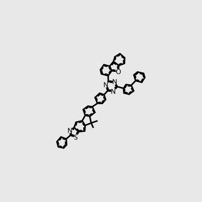 CC1(C)c2cc(-c3ccc(-c4nc(-c5cccc(-c6ccccc6)c5)nc(-c5cccc6c5oc5ccccc56)n4)cc3)ccc2-c2cc3nc(-c4ccccc4)sc3cc21